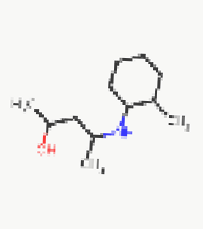 CC(O)CC(C)NC1CCCCC1C